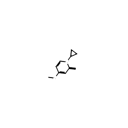 C=C1C=C(NC)C=CN1C1CC1